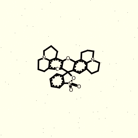 O=S1(=O)OC2(c3ccccc31)c1cc3c4c(c1Oc1c2cc2c5c1CCCN5CCC2)CCCN4CCC3